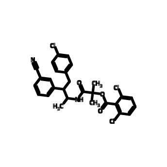 CC(NC(=O)C(C)(C)OC(=O)c1c(Cl)cccc1Cl)C(Cc1ccc(Cl)cc1)c1cccc(C#N)c1